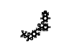 CC(Oc1ccc(CNC(=O)c2cccnc2Oc2ccc3nonc3c2)c(F)c1)C(=O)OC(C)(C)C